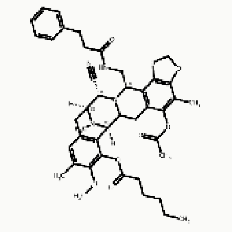 CCCCCC(=O)Oc1c(OC)c(C)cc2c1[C@@H]1C3Cc4c(OC(C)=O)c(C)c5c(c4[C@H](CNC(=O)CCc4ccccc4)N3[C@@H](C#N)[C@H](C2)N1C)OCO5